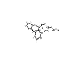 CC(=O)NCN1CCN(C2=Nc3ccccc3Sc3ccccc32)CC1